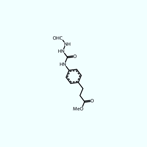 COC(=O)CCc1ccc(NC(=O)NNC=O)cc1